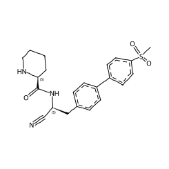 CS(=O)(=O)c1ccc(-c2ccc(C[C@@H](C#N)NC(=O)[C@@H]3CCCCN3)cc2)cc1